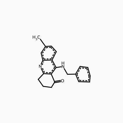 Cc1ccc2c(NCc3ccccc3)c3c(nc2c1)CCCC3=O